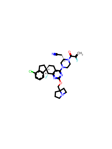 C=C(F)C(=O)N1CCN(c2nc(OCC34CCCN3CC4)nc3c2CC[C@@]2(CCc4c(Cl)cccc42)[C@H]3F)C[C@@H]1CC#N